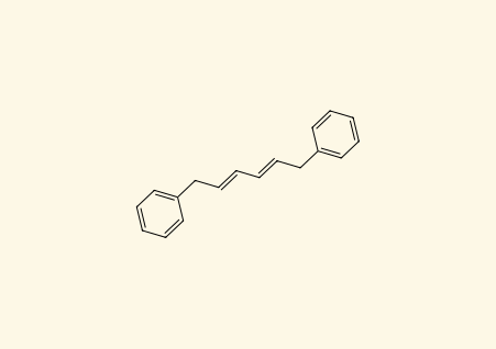 C(C=CCc1ccccc1)=CCc1ccccc1